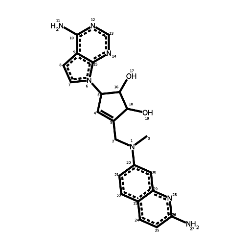 CN(CC1=CC(n2ccc3c(N)ncnc32)C(O)C1O)c1ccc2ccc(N)nc2c1